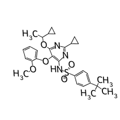 COc1ccccc1Oc1c(NS(=O)(=O)c2ccc(C(C)(C)C)cc2)nc(C2CC2)nc1OC(C)C1CC1